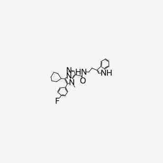 Cn1c(-c2ccc(F)cc2)c(C2CCCCC2)n2ncc(C(=O)NCCc3c[nH]c4ccccc34)c12